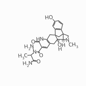 CC(C(N)=O)N(N)C(=O)c1cc2c([nH]c1=O)CC13CC4(CN(C)[C@H]4[C@]1(O)C2)c1ccc(O)cc13